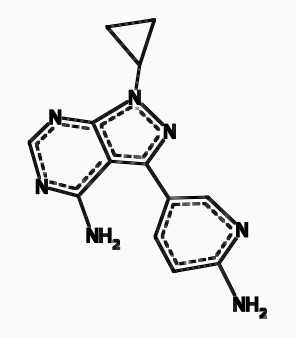 Nc1ccc(-c2nn(C3CC3)c3ncnc(N)c23)cn1